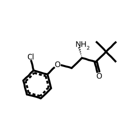 CC(C)(C)C(=O)[C@@H](N)COc1ccccc1Cl